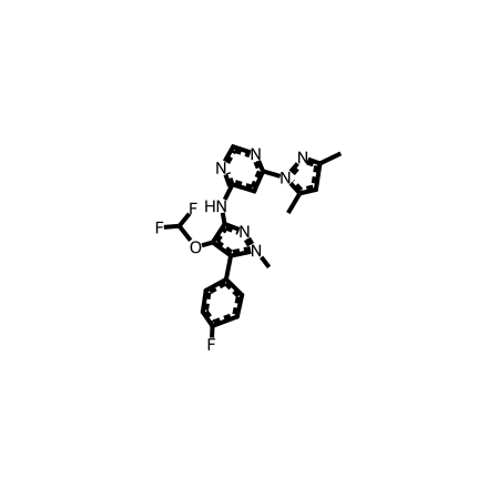 Cc1cc(C)n(-c2cc(Nc3nn(C)c(-c4ccc(F)cc4)c3OC(F)F)ncn2)n1